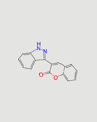 O=c1oc2ccccc2cc1-c1n[nH]c2ccccc12